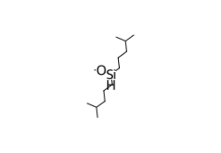 CC(C)CCC[SiH]([O])CCCC(C)C